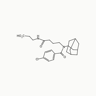 O=C(O)CCNC(=O)CCCN(C(=O)c1ccc(Cl)cc1)C12CC3CC(CC(C3)C1)C2